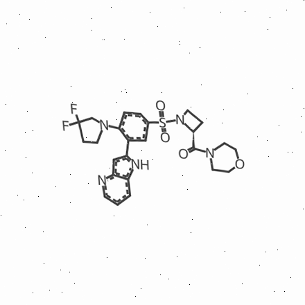 O=C([C@@H]1CCN1S(=O)(=O)c1ccc(N2CCC(F)(F)C2)c(-c2cc3ncccc3[nH]2)c1)N1CCOCC1